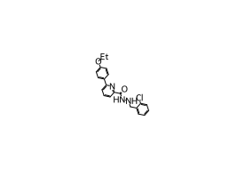 CCOc1ccc(-c2cccc(C(=O)NNCc3ccccc3Cl)n2)cc1